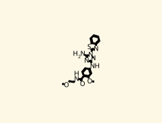 COCCNC(=O)c1ccc(Nc2nc(N)n(-c3nc4ccccc4s3)n2)cc1OC